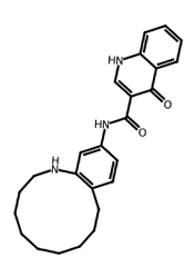 O=C(Nc1ccc2c(c1)NCCCCCCCCC2)c1c[nH]c2ccccc2c1=O